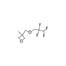 CC1(COCC(F)(F)C(F)F)COC1